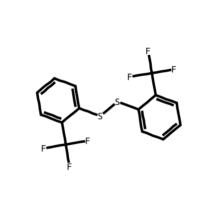 FC(F)(F)c1ccccc1SSc1ccccc1C(F)(F)F